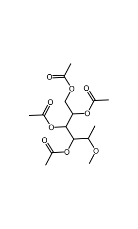 COC(C)C(OC(C)=O)C(OC(C)=O)C(COC(C)=O)OC(C)=O